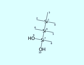 C[Si](C)(C)[Si](C)(C)[Si](C)(O)O